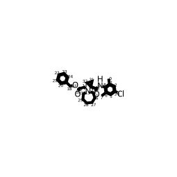 Cc1cc(Cl)cc(C)c1NC(=O)C1([N+]2(CC(=O)OCc3ccccc3)CCCCCC2)CC1